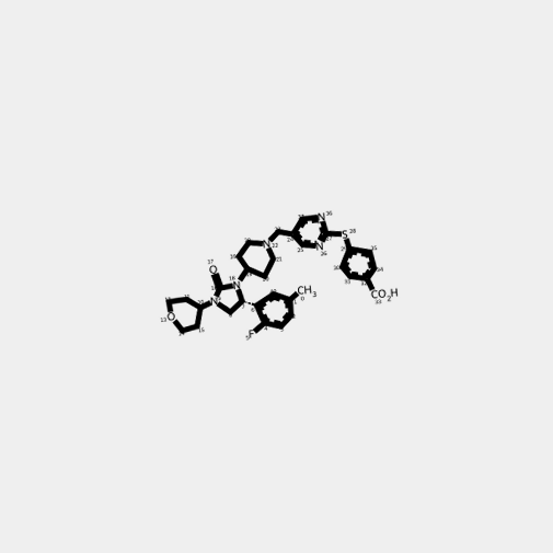 Cc1ccc(F)c([C@@H]2CN(C3CCOCC3)C(=O)N2C2CCN(Cc3cnc(Sc4ccc(C(=O)O)cc4)nc3)CC2)c1